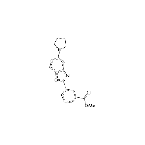 COC(=O)c1cccc(-c2nc3cc(N4CCCC4)ccc3o2)c1